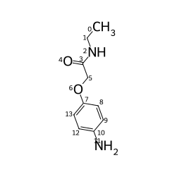 CCNC(=O)COc1ccc(N)cc1